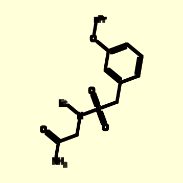 CCCOc1cccc(CS(=O)(=O)N(CC)CC(N)=O)c1